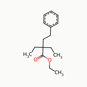 CCOC(=O)C(CC)(CC)CCc1ccccc1